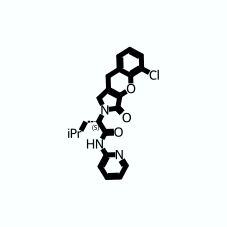 CC(C)C[C@@H](C(=O)Nc1ccccn1)N1CC2=C(Oc3c(Cl)cccc3C2)C1=O